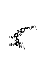 CCCc1cn(C)c(=O)c2c1N=C(c1cc(S(=O)(=O)N3CCN(CCCO[N+](=O)[O-])CC3)ccc1OCC)C2